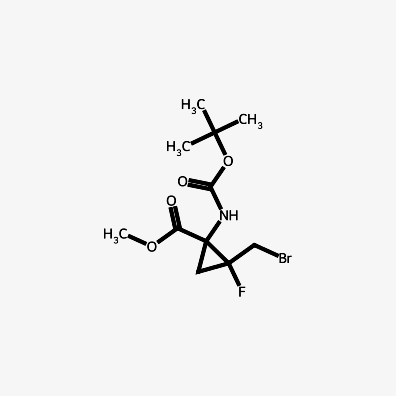 COC(=O)C1(NC(=O)OC(C)(C)C)CC1(F)CBr